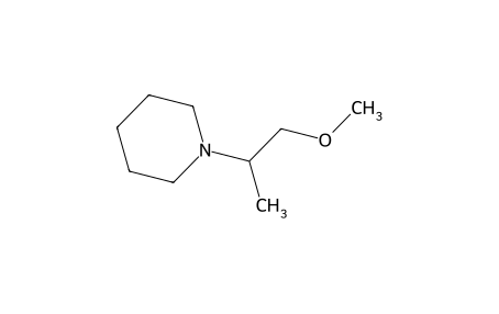 COCC(C)N1CCCCC1